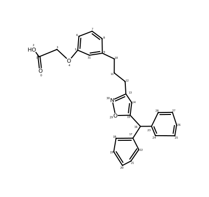 O=C(O)COc1cccc(CCCc2cc(C(c3ccccc3)c3ccccc3)on2)c1